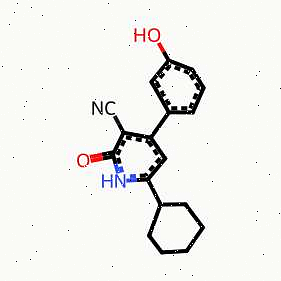 N#Cc1c(-c2cccc(O)c2)cc(C2CCCCC2)[nH]c1=O